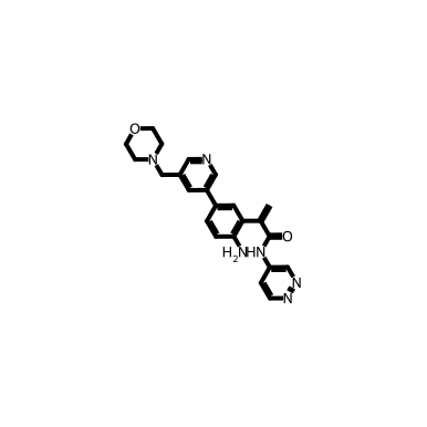 C=C(C(=O)Nc1ccnnc1)c1cc(-c2cncc(CN3CCOCC3)c2)ccc1N